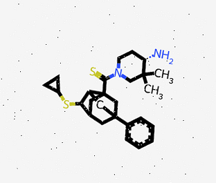 CC1(C)CN(C(=S)C23CC4CC(c5ccccc5)(CC2C4SC2CC2)C3)CC[C@@H]1N